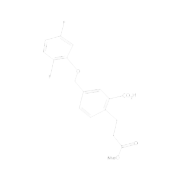 COC(=O)CCc1ccc(COc2cc(F)ccc2F)cc1C(=O)O